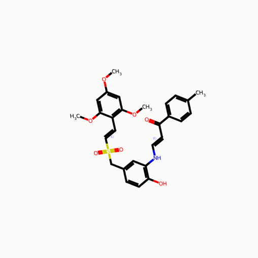 COc1cc(OC)c(/C=C/S(=O)(=O)Cc2ccc(O)c(N/C=C/C(=O)c3ccc(C)cc3)c2)c(OC)c1